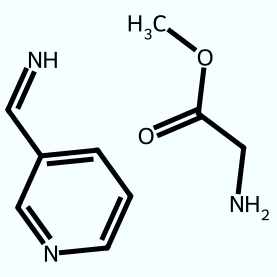 COC(=O)CN.N=Cc1cccnc1